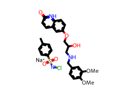 COc1ccc(CNCC(O)COc2ccc3[nH]c(=O)ccc3c2)cc1OC.Cc1ccc(S(=O)(=O)[N-]Cl)cc1.[Na+]